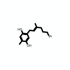 C/C(=C\Cc1cc(O)c(C)cc1O)CCCC(C)C